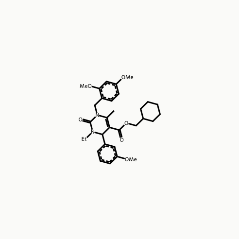 CCN1C(=O)N(Cc2ccc(OC)cc2OC)C(C)=C(C(=O)OCC2CCCCC2)C1c1cccc(OC)c1